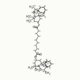 CC(ON1C(C)(C)CC(CC(=O)CCCCCCCCC(=O)OC2CC(C)(C)N(OC(C)c3ccccc3)C(C)(C)C2)CC1(C)C)c1ccccc1